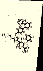 CCCc1cc(C(=O)N[C@H](Cc2ccccc2)[C@H](O)C(=O)O)nn1Cc1ccc(-c2ccccc2-c2nnn[nH]2)nc1